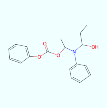 CCC(O)N(c1ccccc1)C(C)OC(=O)Oc1ccccc1